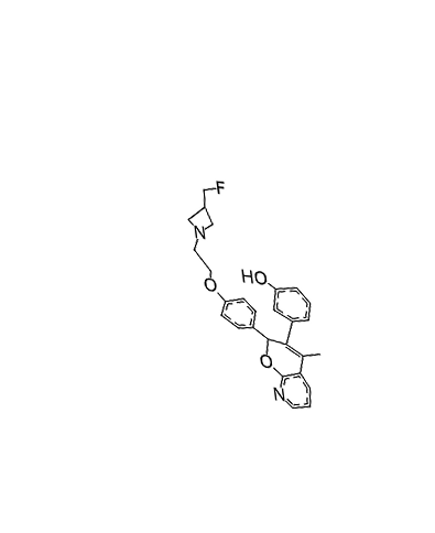 CC1=C(c2cccc(O)c2)C(c2ccc(OCCN3CC(CF)C3)cc2)Oc2ncccc21